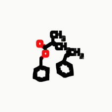 C=C(C)C(=O)OCc1ccccc1.C=Cc1ccccc1